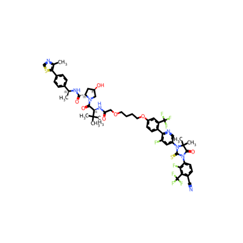 Cc1ncsc1-c1ccc([C@H](C)NC(=O)[C@@H]2C[C@@H](O)CN2C(=O)[C@@H](NC(=O)COCCCCOc2ccc(-c3ncc(N4C(=S)N(c5ccc(C#N)c(C(F)(F)F)c5F)C(=O)C4(C)C)cc3F)c(C(F)(F)F)c2)C(C)(C)C)cc1